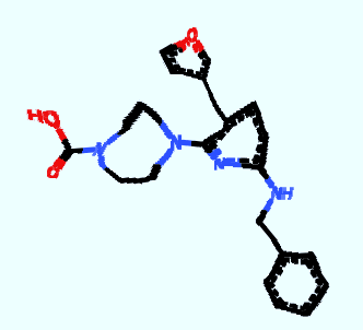 O=C(O)N1CCN(c2nc(NCc3ccccc3)ccc2-c2ccoc2)CC1